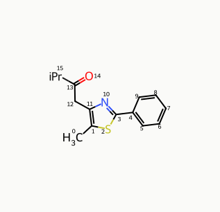 Cc1sc(-c2ccccc2)nc1CC(=O)C(C)C